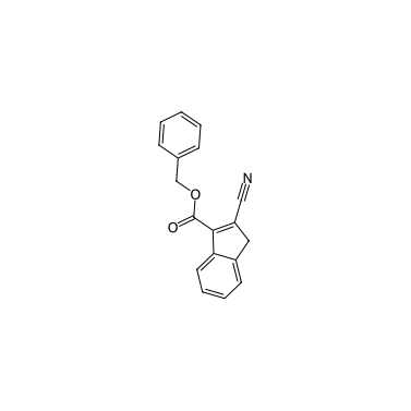 N#CC1=C(C(=O)OCc2ccccc2)c2ccccc2C1